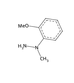 COc1ccccc1N(C)N